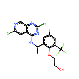 C[C@@H](Nc1nc(Cl)nc2cnc(Cl)cc12)c1cc(F)cc(C(F)(F)F)c1OCCO